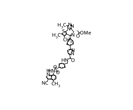 COC(=O)C[C@@H]1N=C(c2ccc(-c3ccc(C(=O)NCc4ccc(S(=O)(=O)Nc5ccc(C)c6c(C#N)c[nH]c56)cc4)nn3)cc2)c2c(sc(C)c2C)-n2c(C)nnc21